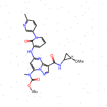 CO[C@@H]1CC1NC(=O)c1cnn2c(N(C)C(=O)OC(C)(C)C)cc(Nc3cccn(-c4ccc(C)nc4)c3=O)nc12